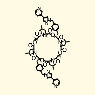 CC(C)C[C@H]1C(=O)O[C@H](Cc2ccc(Cn3cc(-c4cccnc4)cn3)cc2)C(=O)N(C)[C@@H](CC(C)C)C(=O)O[C@H](C)C(=O)N(C)[C@@H](CC(C)C)C(=O)O[C@H](Cc2ccc(Cn3cc(-c4cccnc4)cn3)cc2)C(=O)N(C)[C@@H](CC(C)C)C(=O)O[C@H](C)C(=O)N1C